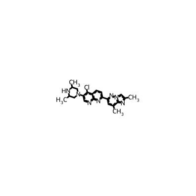 Cc1cn2nc(-c3ccc4c(Cl)c(N5CC(C)NC(C)C5)cnc4n3)cc(C)c2n1